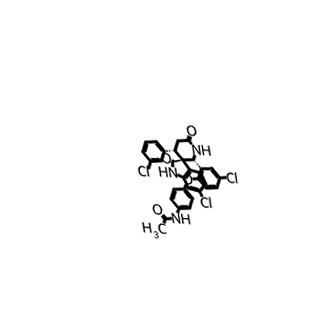 CC(=O)Nc1ccc(Oc2ccc(Cl)cc2[C@H]2NC(=O)C[C@@H](c3cccc(Cl)c3)[C@]23C(=O)Nc2cc(Cl)ccc23)cc1